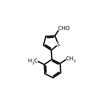 Cc1cccc(C)c1-c1ccc(C=O)s1